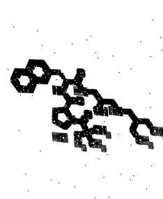 CCC(CC)CNCC(O)CNC(=O)[C@@H](Cc1ccc2ccccc2c1)NC(=O)[C@@H]1CCCN1C(=O)C(C)(C)C.Cl